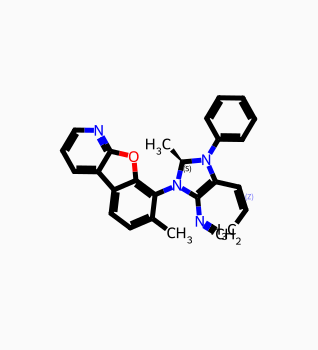 C=NC1=C(/C=C\C)N(c2ccccc2)[C@H](C)N1c1c(C)ccc2c1oc1ncccc12